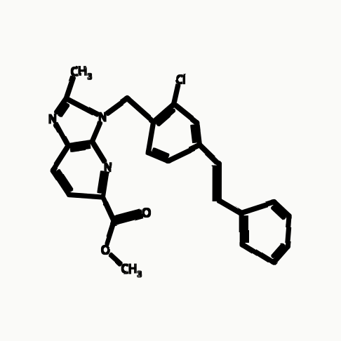 COC(=O)c1ccc2nc(C)n(Cc3ccc(C=Cc4ccccc4)cc3Cl)c2n1